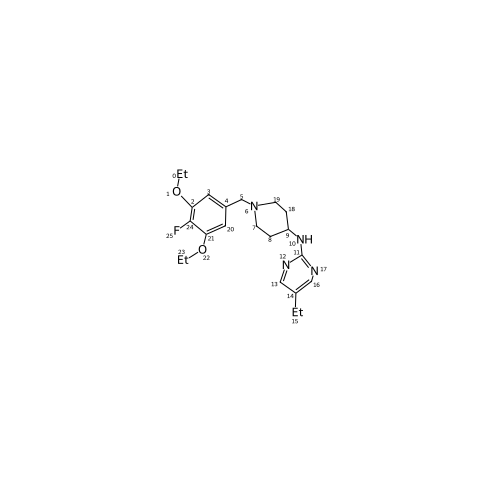 CCOc1cc(CN2CCC(Nc3ncc(CC)cn3)CC2)cc(OCC)c1F